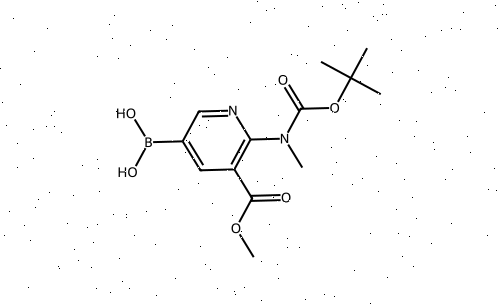 COC(=O)c1cc(B(O)O)cnc1N(C)C(=O)OC(C)(C)C